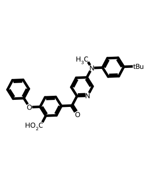 CN(c1ccc(C(C)(C)C)cc1)c1ccc(C(=O)c2ccc(Oc3ccccc3)c(C(=O)O)c2)nc1